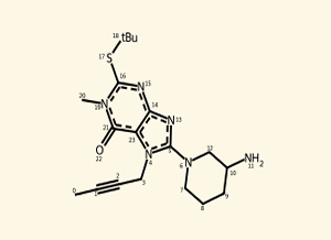 CC#CCn1c(N2CCCC(N)C2)nc2nc(SC(C)(C)C)n(C)c(=O)c21